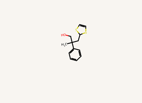 CC(CO)(CC1SC=CS1)c1ccccc1